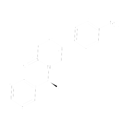 C[C@@H](c1ccccc1)N1C[C@@H](c2ccc([N+](=O)[O-])cc2)OCC1=O